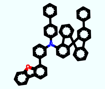 c1ccc(-c2ccc(N(c3cccc(-c4cccc5c4oc4ccccc45)c3)c3cccc4c3-c3ccccc3C43c4ccccc4-c4ccc(-c5ccccc5)cc43)cc2)cc1